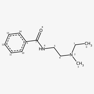 CCN(C)CCNC(=O)c1cc[c]cc1